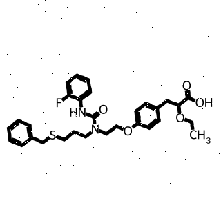 CCOC(Cc1ccc(OCCN(CCCSCc2ccccc2)C(=O)Nc2ccccc2F)cc1)C(=O)O